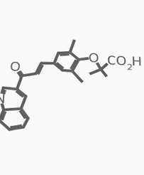 Cc1cc(/C=C/C(=O)c2cnc3ccccc3c2)cc(C)c1OC(C)(C)C(=O)O